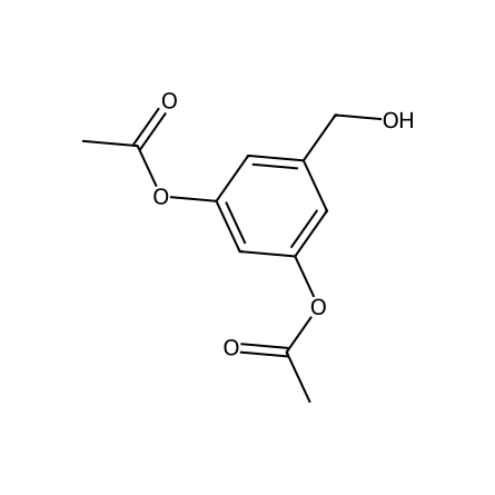 CC(=O)Oc1cc(CO)cc(OC(C)=O)c1